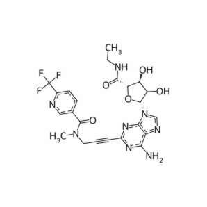 CCNC(=O)[C@H]1O[C@@H](n2cnc3c(N)nc(C#CCN(C)C(=O)c4ccc(C(F)(F)F)nc4)nc32)C(O)[C@@H]1O